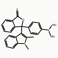 CCCCN(CCCC)c1ccc(C2(c3c(C)n(C)c4ccccc34)OC(=O)c3ccccc32)cc1